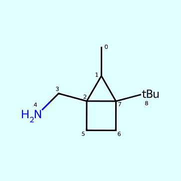 CC1C2(CN)CCC12C(C)(C)C